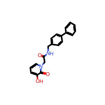 O=C(Cn1cccc(O)c1=O)NCc1ccc(-c2ccccc2)cc1